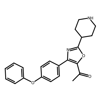 CC(=O)c1oc(C2CCNCC2)nc1-c1ccc(Oc2ccccc2)cc1